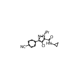 CC(C)n1nc(-c2ccc(C#N)cc2)c(Cl)c1C(=O)NC1CC1